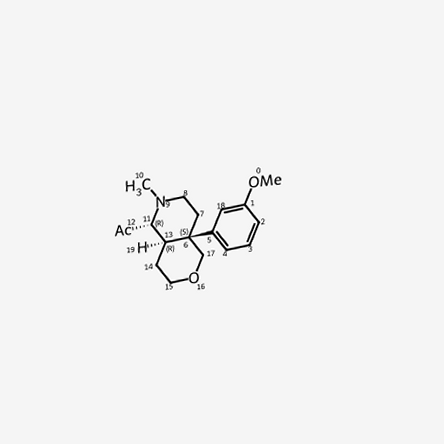 COc1cccc([C@]23CCN(C)[C@@H](C(C)=O)[C@@H]2CCOC3)c1